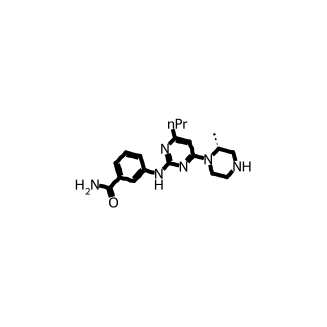 CCCc1cc(N2CCNC[C@H]2C)nc(Nc2cccc(C(N)=O)c2)n1